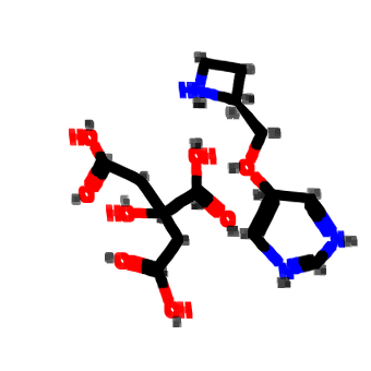 O=C(O)CC(O)(CC(=O)O)C(=O)O.c1ncc(OC[C@@H]2CCN2)cn1